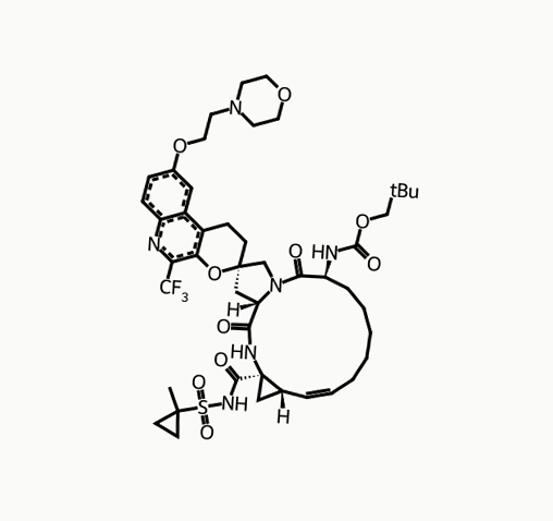 CC(C)(C)COC(=O)N[C@H]1CCCCC/C=C\[C@@H]2C[C@@]2(C(=O)NS(=O)(=O)C2(C)CC2)NC(=O)[C@@H]2C[C@]3(CCc4c(c(C(F)(F)F)nc5ccc(OCCN6CCOCC6)cc45)O3)CN2C1=O